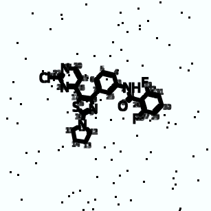 O=C(Nc1cccc(-c2nc(N3CCCC3)sc2-c2ccnc(Cl)n2)c1)c1c(F)cccc1F